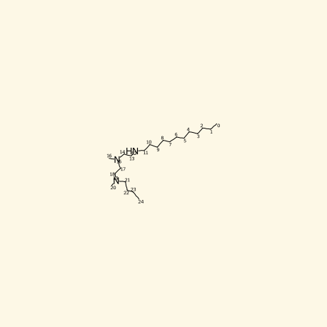 CCCCCCCCCCCCNCCN(C)CCN(C)CCCC